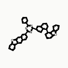 c1ccc(-c2nc(-c3ccc4cc5c(cc4c3)oc3ccccc35)nc(-c3ccc4c(-c5cccc6oc7ccccc7c56)cccc4c3)n2)cc1